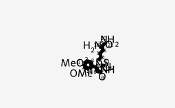 COc1ccc(-c2cc(=O)[nH]c(=S)n2CCCCC(N)C(N)=O)c(OC)c1.Cl